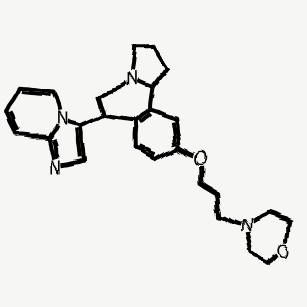 c1ccn2c(C3CN4CCCC4c4cc(OCCCN5CCOCC5)ccc43)cnc2c1